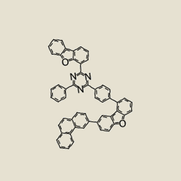 c1ccc(-c2nc(-c3ccc(-c4cccc5oc6ccc(-c7ccc8ccc9ccccc9c8c7)cc6c45)cc3)nc(-c3cccc4c3oc3ccccc34)n2)cc1